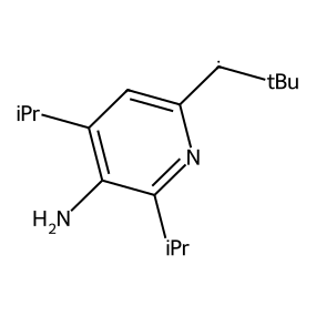 CC(C)c1cc([CH]C(C)(C)C)nc(C(C)C)c1N